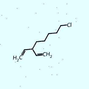 C=CC(C=C)CCCCCCl